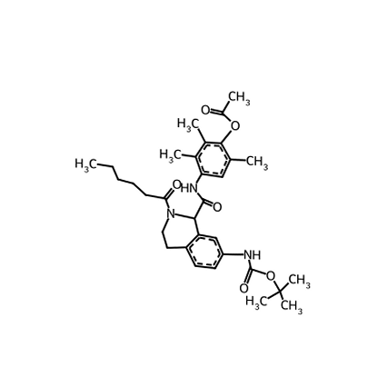 CCCCCC(=O)N1CCc2ccc(NC(=O)OC(C)(C)C)cc2C1C(=O)Nc1cc(C)c(OC(C)=O)c(C)c1C